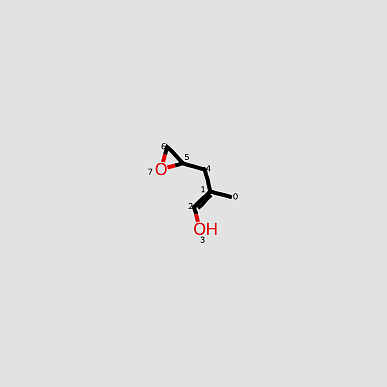 CC(=CO)CC1CO1